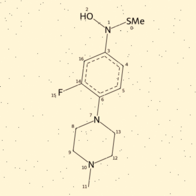 CSN(O)c1ccc(N2CCN(C)CC2)c(F)c1